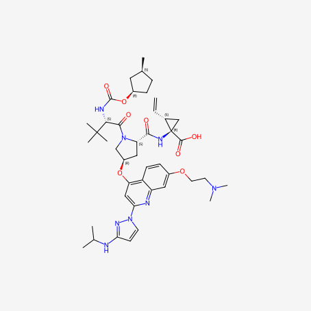 C=C[C@@H]1C[C@]1(NC(=O)[C@@H]1C[C@@H](Oc2cc(-n3ccc(NC(C)C)n3)nc3cc(OCCN(C)C)ccc23)CN1C(=O)[C@@H](NC(=O)O[C@@H]1CC[C@H](C)C1)C(C)(C)C)C(=O)O